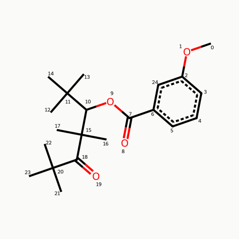 COc1cccc(C(=O)OC(C(C)(C)C)C(C)(C)C(=O)C(C)(C)C)c1